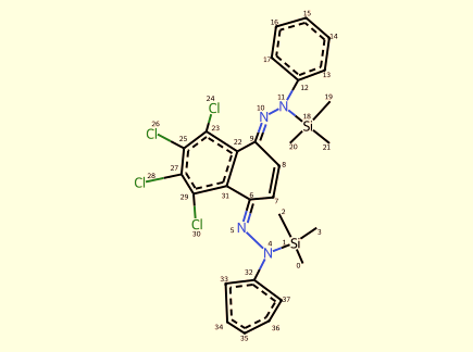 C[Si](C)(C)N(N=C1C=CC(=NN(c2ccccc2)[Si](C)(C)C)c2c(Cl)c(Cl)c(Cl)c(Cl)c21)c1ccccc1